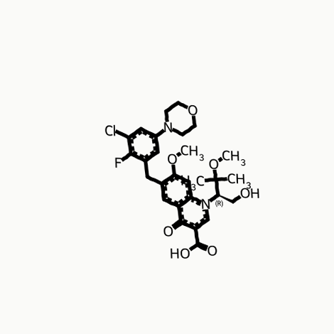 COc1cc2c(cc1Cc1cc(N3CCOCC3)cc(Cl)c1F)c(=O)c(C(=O)O)cn2[C@H](CO)C(C)(C)OC